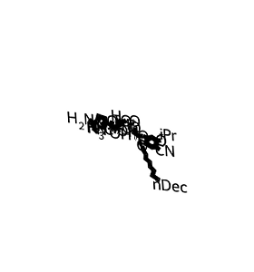 CCCCCCCCCCCCCCCCCCOC[C@H](COP(=O)(O)OC1[C@H]2O[C@@](C)(c3ccc4c(N)ncnn34)[C@H](O)[C@@]12O)Oc1ccc(C#N)c(OC(C)C)c1